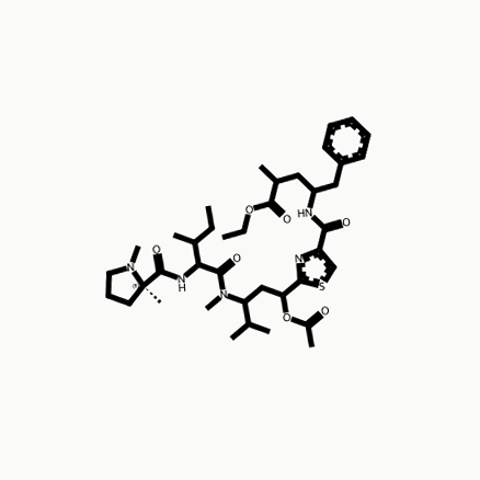 CCOC(=O)C(C)CC(Cc1ccccc1)NC(=O)c1csc(C(CC(C(C)C)N(C)C(=O)C(NC(=O)[C@@]2(C)CCCN2C)C(C)CC)OC(C)=O)n1